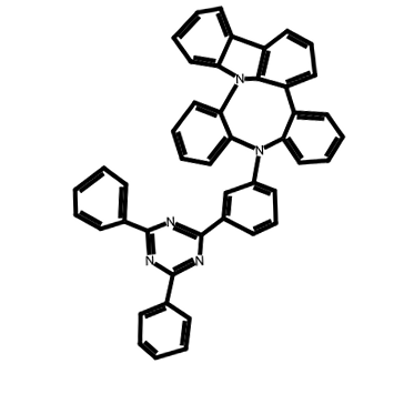 c1ccc(-c2nc(-c3ccccc3)nc(-c3cccc(-n4c5ccccc5c5cccc6c7ccccc7n(c7ccccc74)c56)c3)n2)cc1